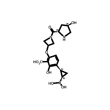 O=C(O)c1c(OC2CN(C(=O)[C@H]3C[C@@H](O)CN3)C2)ccc([C@H]2C[C@H]2B(O)O)c1O